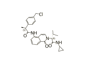 CC(C)[C@H](C(=O)NC1CC1)n1ccc2c(NC(=O)[C@@H](C)c3ccc(CCl)cc3)cccc2c1=O